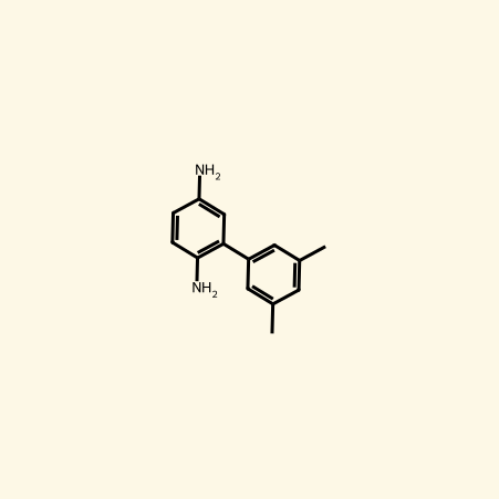 Cc1cc(C)cc(-c2cc(N)ccc2N)c1